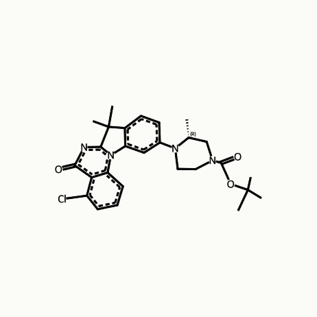 C[C@@H]1CN(C(=O)OC(C)(C)C)CCN1c1ccc2c(c1)-n1c(nc(=O)c3c(Cl)cccc31)C2(C)C